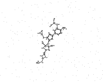 Nc1ncc(-c2cc([C@H]3[C@@H]4C[C@@H](N5CC(CO)C5)C[C@@H]43)n(CC3CC3)n2)cc1OC(F)F